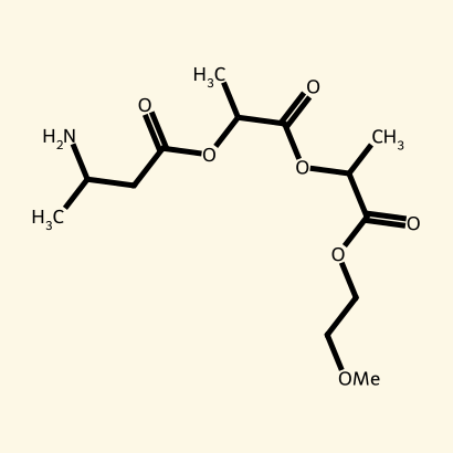 COCCOC(=O)C(C)OC(=O)C(C)OC(=O)CC(C)N